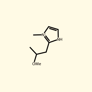 COC(C)Cc1[nH]cc[n+]1C